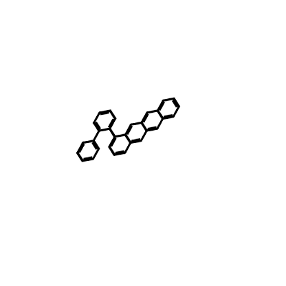 c1ccc(-c2ccccc2-c2cccc3cc4cc5ccccc5cc4cc23)cc1